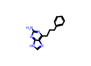 Nc1nc(CCCc2ccccc2)c2nc[nH]c2n1